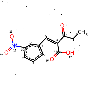 CCC(=O)C(=Cc1cccc([N+](=O)[O-])c1)C(=O)O